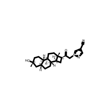 C[C@@]1(O)CC[C@H]2[C@H](CC[C@@H]3[C@@H]2CC[C@]2(C)[C@@H](C(=O)Cn4cc(C#N)cn4)C[C@@H]32)C1